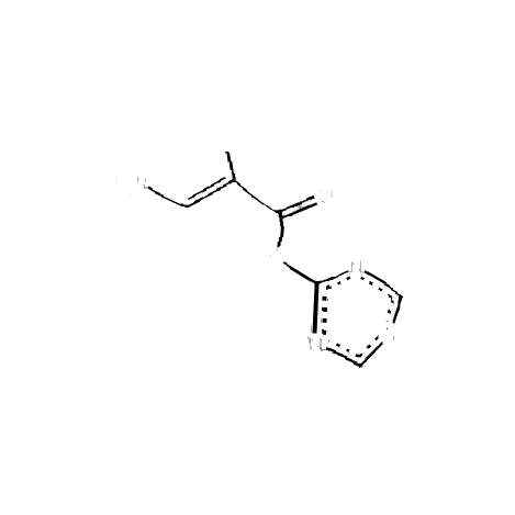 CC(=CN)C(=O)Oc1ncncn1